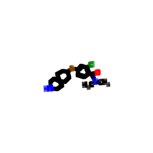 CN(C)C(=O)c1ccc(SC2CCC3(CCNCC3)CC2)cc1Cl